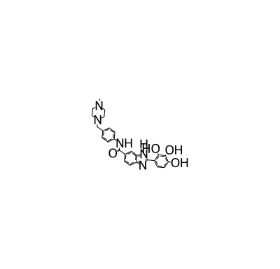 CN1CCN(Cc2ccc(NC(=O)c3ccc4nc(-c5ccc(O)c(O)c5O)[nH]c4c3)cc2)CC1